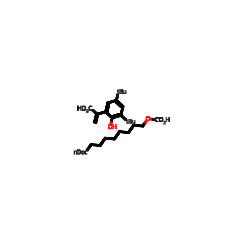 C=C(C(=O)O)c1cc(C(C)(C)C)cc(C(C)(C)C)c1O.CCCCCCCCCCCCCCCCCCOC(=O)O